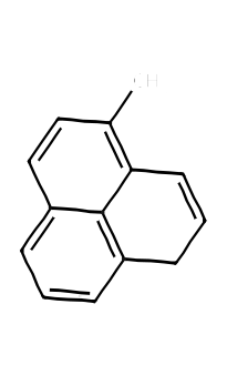 Cc1ccc2cccc3c2c1C=CC3